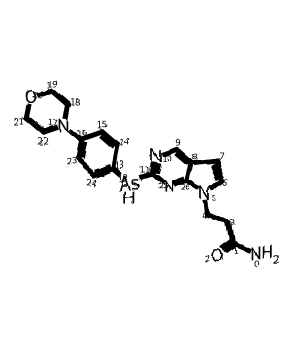 NC(=O)CCn1ccc2cnc([AsH]c3ccc(N4CCOCC4)cc3)nc21